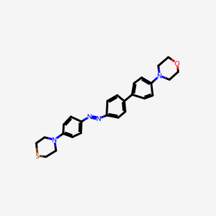 c1cc(-c2ccc(N3CCOCC3)cc2)ccc1N=Nc1ccc(N2CCSCC2)cc1